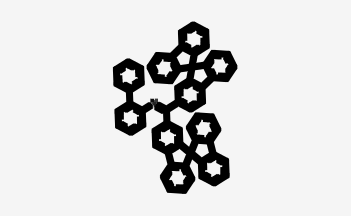 c1ccc(-c2ccccc2N=C(c2ccc3c(c2)C2(c4ccccc4-c4ccccc42)c2ccccc2-3)c2ccc3c(c2)C2(c4ccccc4-c4ccccc42)c2ccccc2-3)cc1